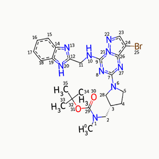 CN(C[C@H]1CCN(c2nc(NCc3nc4ccccc4[nH]3)n3ncc(Br)c3n2)C1)C(=O)OC(C)(C)C